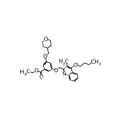 CCCCOc1c(C)c(COc2cc(OCC3CCOCC3)cc(C(=O)OCC)c2)nc2ccccc12